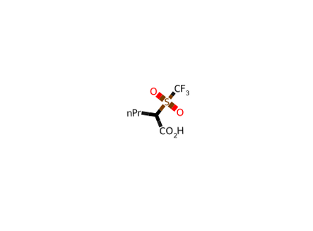 CCCC(C(=O)O)S(=O)(=O)C(F)(F)F